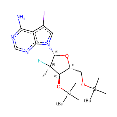 CC(C)(C)[Si](C)(C)OC[C@H]1O[C@@H](n2cc(I)c3c(N)ncnc32)[C@](C)(F)[C@@H]1O[Si](C)(C)C(C)(C)C